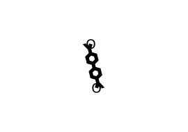 C1CC(C2CO2)CCC1C1CCC(C2CO2)CC1